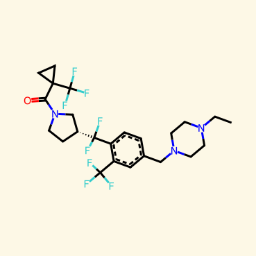 CCN1CCN(Cc2ccc(C(F)(F)[C@@H]3CCN(C(=O)C4(C(F)(F)F)CC4)C3)c(C(F)(F)F)c2)CC1